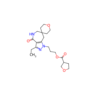 CCc1nn(CCCOC(=O)C2CCOC2)c2c1C(=O)NCC1(CCOCC1)C2